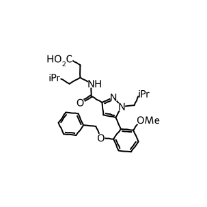 COc1cccc(OCc2ccccc2)c1-c1cc(C(=O)NC(CC(=O)O)CC(C)C)nn1CC(C)C